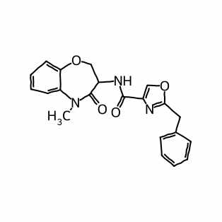 CN1C(=O)C(NC(=O)c2coc(Cc3ccccc3)n2)COc2ccccc21